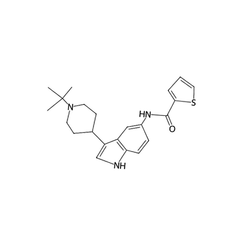 CC(C)(C)N1CCC(c2c[nH]c3ccc(NC(=O)c4cccs4)cc23)CC1